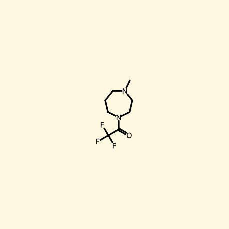 CN1CCCN(C(=O)C(F)(F)F)CC1